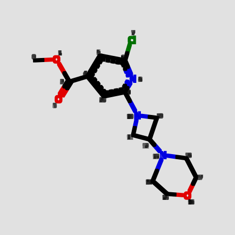 COC(=O)c1cc(Cl)nc(N2CC(N3CCOCC3)C2)c1